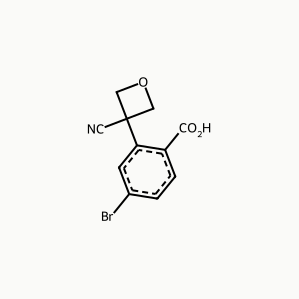 N#CC1(c2cc(Br)ccc2C(=O)O)COC1